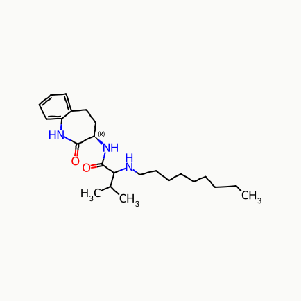 CCCCCCCCCNC(C(=O)N[C@@H]1CCc2ccccc2NC1=O)C(C)C